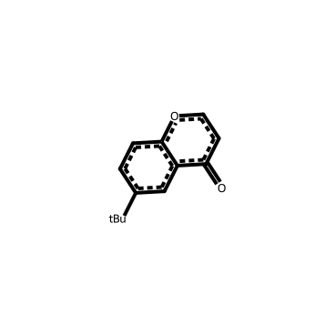 CC(C)(C)c1ccc2occc(=O)c2c1